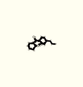 CCCc1ccc2c(=O)c3ccccc3sc2c1